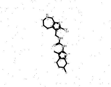 Cc1c(NC(=O)NCc2c(C(F)(F)F)sc3c2CCCNC3)sc2c1CCC(C)C2